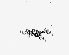 COc1ccc(-c2sc(NC(C)=O)nc2C)cc1S(=O)(=O)NCCCN(C)C